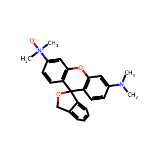 CN(C)c1ccc2c(c1)Oc1cc([N+](C)(C)[O-])ccc1C21OCc2ccccc21